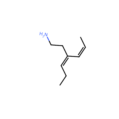 C/C=C\C(=C/CC)CCN